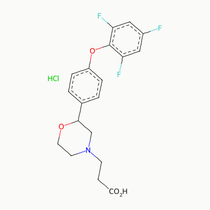 Cl.O=C(O)CCN1CCOC(c2ccc(Oc3c(F)cc(F)cc3F)cc2)C1